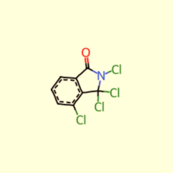 O=C1c2cccc(Cl)c2C(Cl)(Cl)N1Cl